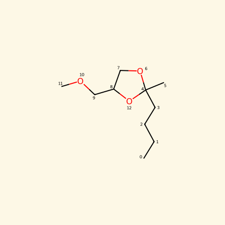 CCCCC1(C)OCC(COC)O1